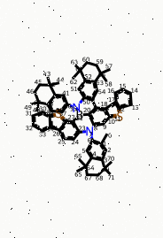 Cc1cc2c(cc1N1c3cc4sc5ccccc5c4c4c3B(c3c1ccc1c3sc3ccccc31)N(c1ccc3c(c1)C(C)(C)CCC3(C)C)c1cc3c(cc1-4)C(C)(C)CCC3(C)C)C(C)(C)CCC2(C)C